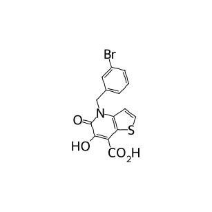 O=C(O)c1c(O)c(=O)n(Cc2cccc(Br)c2)c2ccsc12